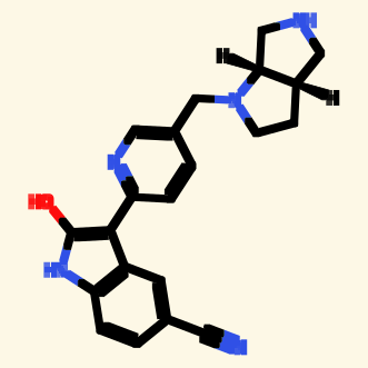 N#Cc1ccc2[nH]c(O)c(-c3ccc(CN4CC[C@H]5CNC[C@H]54)cn3)c2c1